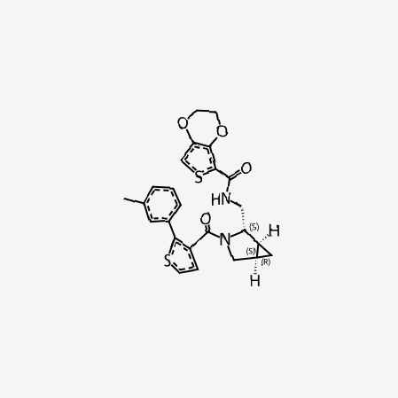 Cc1cccc(-c2sccc2C(=O)N2C[C@@H]3C[C@@H]3[C@H]2CNC(=O)c2scc3c2OCCO3)c1